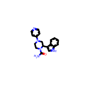 NC(=O)N1CCN(c2ccncc2)CC1c1c[nH]c2ccccc12